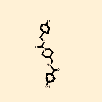 O=C(NCC1CCN(C(=O)OCc2ccc(Cl)cc2)CC1)c1ccc(O)cc1